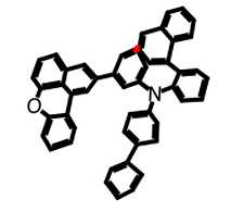 c1ccc(-c2ccc(N(c3cccc(-c4cc5c6c(cccc6c4)Oc4ccccc4-5)c3)c3ccccc3-c3cccc4ccccc34)cc2)cc1